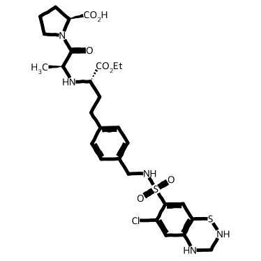 CCOC(=O)[C@H](CCc1ccc(CNS(=O)(=O)c2cc3c(cc2Cl)NCNS3)cc1)N[C@@H](C)C(=O)N1CCC[C@H]1C(=O)O